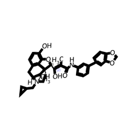 C/C(C(=O)Nc1cccc(-c2ccc3c(c2)OCO3)c1)=C(/O)[C@@H]1Oc2c(O)ccc3c2[C@@]12CCN(CC1CC1)[C@H](C3)[C@@]2(C)O